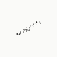 CCCCCCCCCCCC.[SeH2]